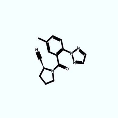 Cc1ccc(-n2nccn2)c(C(=O)N2CCC[C@H]2C#N)c1